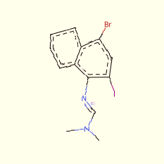 CN(C)/C=N/c1c(I)cc(Br)c2ccccc12